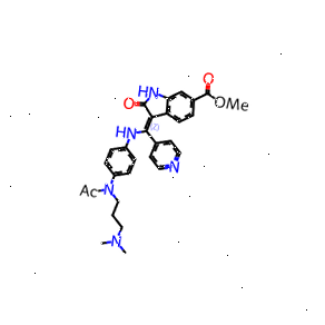 COC(=O)c1ccc2c(c1)NC(=O)/C2=C(\Nc1ccc(N(CCCN(C)C)C(C)=O)cc1)c1ccncc1